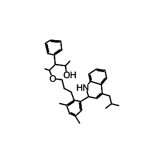 Cc1cc(C)c(CCCOC(C)C(c2ccccc2)C(C)O)c(C2C=C(CC(C)C)c3ccccc3N2)c1